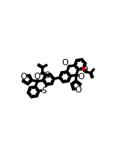 C=C(C)C(=O)OC1(c2ccoc2)c2ccccc2Sc2cc(-c3ccc4c(c3)C(=O)c3ccccc3C4(OC(=O)C(=C)C)c3ccoc3)ccc21